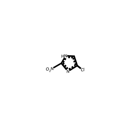 O=[N+]([O-])c1nc(Cl)c[nH]1